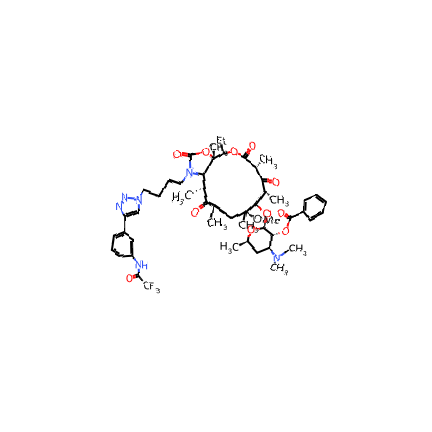 CC[C@H]1OC(=O)[C@H](C)C(=O)[C@H](C)[C@@H](O[C@@H]2O[C@H](C)C[C@H](N(C)C)[C@H]2OC(=O)c2ccccc2)[C@@](C)(OC)C[C@@H](C)C(=O)[C@H](C)C2N(CCCCn3cc(-c4cccc(NC(=O)C(F)(F)F)c4)nn3)C(=O)O[C@@]21C